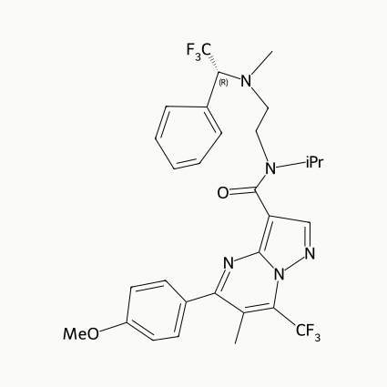 COc1ccc(-c2nc3c(C(=O)N(CCN(C)[C@H](c4ccccc4)C(F)(F)F)C(C)C)cnn3c(C(F)(F)F)c2C)cc1